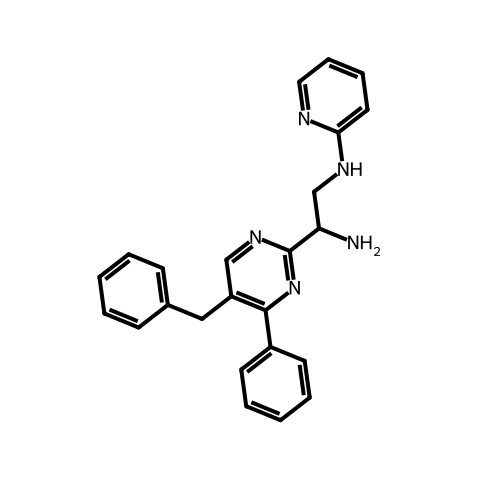 NC(CNc1ccccn1)c1ncc(Cc2ccccc2)c(-c2ccccc2)n1